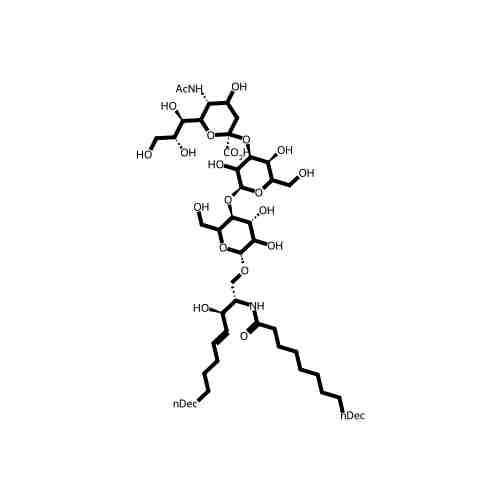 CCCCCCCCCCCCC/C=C/[C@@H](O)[C@H](CO[C@@H]1OC(CO)[C@@H](O[C@@H]2OC(CO)[C@H](O)[C@H](O[C@]3(C(=O)O)CC(O)[C@@H](NC(C)=O)C([C@H](O)[C@H](O)CO)O3)C2O)[C@H](O)C1O)NC(=O)CCCCCCCCCCCCCCCCC